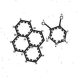 Clc1cnnnc1Cl.c1cc2ccc3cccc4ccc(c1)c2c34